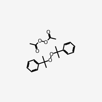 CC(=O)OOC(C)=O.CC(C)(OOC(C)(C)c1ccccc1)c1ccccc1